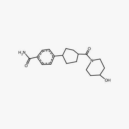 NC(=O)c1ccc(C2CCC(C(=O)N3CCC(O)CC3)CC2)cc1